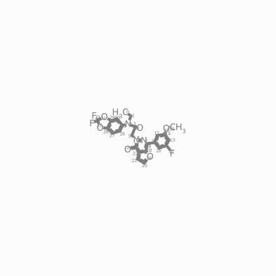 CCN(C(=O)Cn1nc(-c2cc(F)cc(OC)c2)c2occc2c1=O)c1ccc2c(c1)OC(F)(F)O2